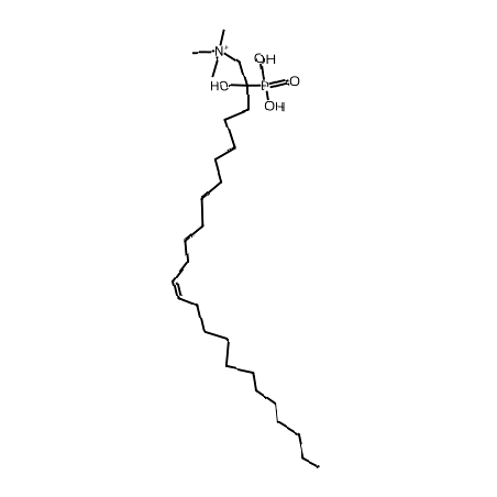 CCCCCCCCCCC/C=C\CCCCCCCCCC(O)(C[N+](C)(C)C)P(=O)(O)O